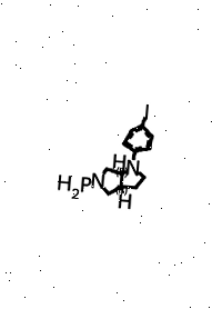 PN1C[C@H]2CCN(c3ccc(I)cc3)[C@H]2C1